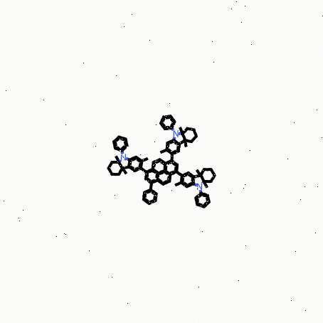 Cc1cc2c(cc1-c1cc(-c3ccccc3)c3ccc4c(-c5cc6c(cc5C)N(c5ccccc5)C5(C)CCCCC65C)cc(-c5cc6c(cc5C)N(c5ccccc5)C5(C)CCCCC65C)c5ccc1c3c45)C1(C)CCCCC1(C)N2c1ccccc1